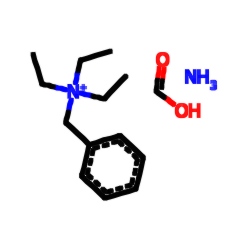 CC[N+](CC)(CC)Cc1ccccc1.N.O=CO